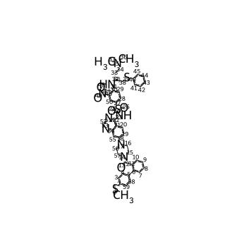 CSc1ccc(-c2ccccc2C(=O)N2CCN(c3ccc4c(NS(=O)(=O)c5ccc(N[C@H](CCN(C)C)CSc6ccccc6)c([N+](=O)[O-])c5)ncnc4c3)CC2)cc1